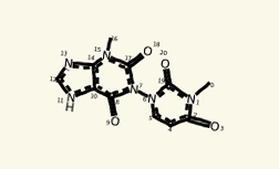 Cn1c(=O)ccn(-n2c(=O)c3[nH][c]nc3n(C)c2=O)c1=O